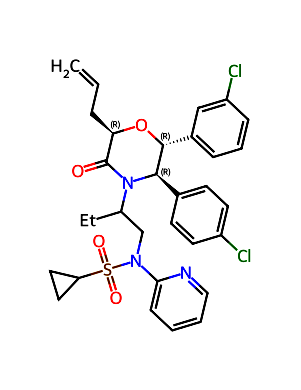 C=CC[C@H]1O[C@H](c2cccc(Cl)c2)[C@@H](c2ccc(Cl)cc2)N(C(CC)CN(c2ccccn2)S(=O)(=O)C2CC2)C1=O